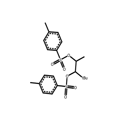 Cc1ccc(S(=O)(=O)OC(C)C(OS(=O)(=O)c2ccc(C)cc2)C(C)(C)C)cc1